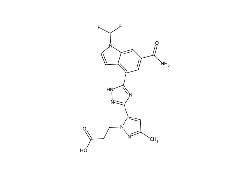 Cc1cc(-c2n[nH]c(-c3cc(C(N)=O)cc4c3ccn4C(F)F)n2)n(CCC(=O)O)n1